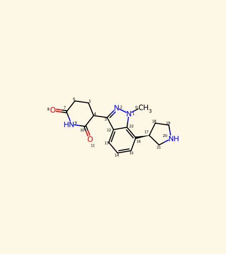 Cn1nc(C2CCC(=O)NC2=O)c2cccc([C@H]3CCNC3)c21